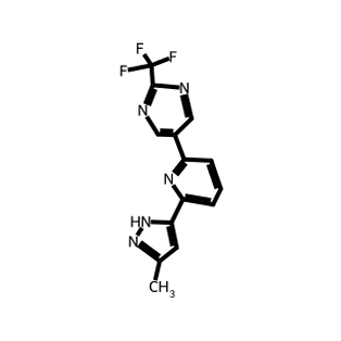 Cc1cc(-c2cccc(-c3cnc(C(F)(F)F)nc3)n2)[nH]n1